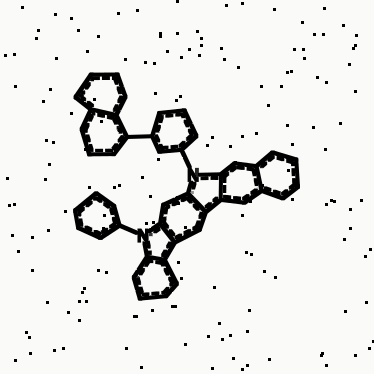 c1ccc(-n2c3ccccc3c3cc4c5cc6ccccc6cc5n(-c5cccc(-c6cccc7ccccc67)c5)c4cc32)cc1